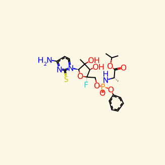 CC(C)OC(=O)[C@H](C)NP(=O)(OC[C@@]1(F)O[C@@H](n2ccc(N)nc2=S)C(C)(O)[C@H]1O)Oc1ccccc1